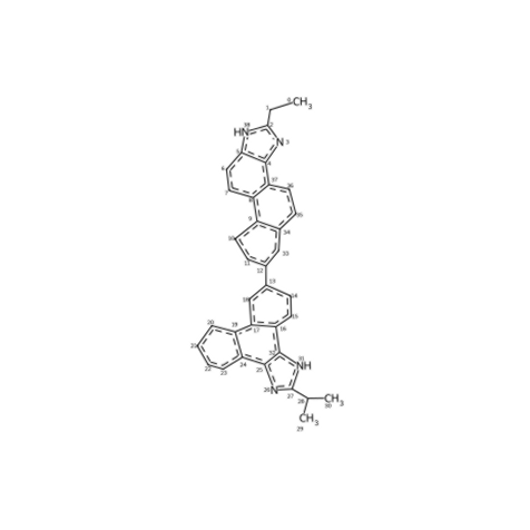 CCc1nc2c(ccc3c4ccc(-c5ccc6c(c5)c5ccccc5c5nc(C(C)C)[nH]c65)cc4ccc32)[nH]1